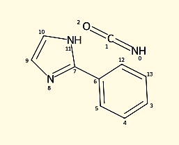 N=C=O.c1ccc(-c2ncc[nH]2)cc1